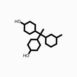 CC1CCCC(C(C)(C2CCC(O)CC2)C2CCC(O)CC2)C1